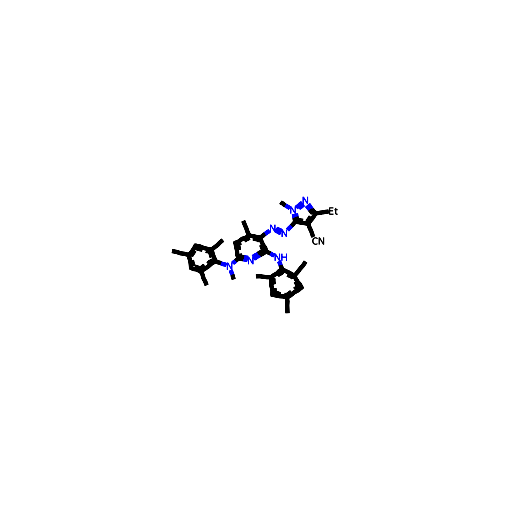 CCc1nn(C)c(N=Nc2c(C)cc(N(C)c3c(C)cc(C)cc3C)nc2Nc2c(C)cc(C)cc2C)c1C#N